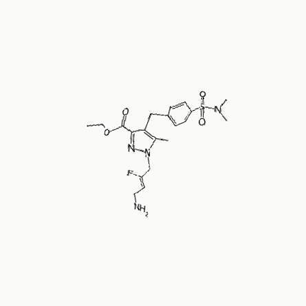 CCOC(=O)c1nn(C/C(F)=C/CN)c(C)c1Cc1ccc(S(=O)(=O)N(C)C)cc1